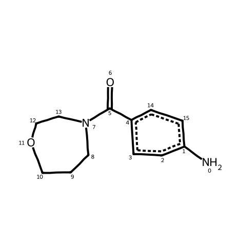 Nc1ccc(C(=O)N2CCCOCC2)cc1